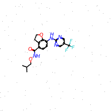 CC(C)CONC(=O)c1ccc(Nc2ncc(C(F)(F)F)cn2)c2c1CCO2